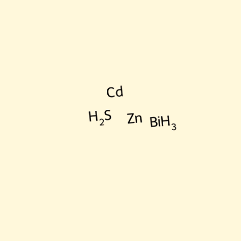 S.[BiH3].[Cd].[Zn]